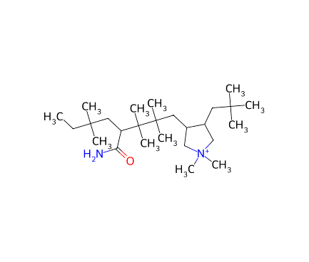 CCC(C)(C)CC(C(N)=O)C(C)(C)C(C)(C)CC1C[N+](C)(C)CC1CC(C)(C)C